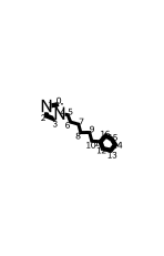 [c]1nccn1CCCCCCc1ccccc1